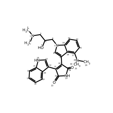 CN(C)CC(O)Cn1cc(C2=C(c3c[nH]c4ccccc34)C(=O)NC2=O)c2c(N(C)C)cccc21